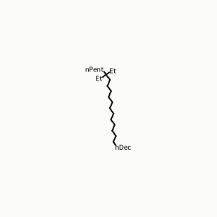 CCCCCCCCCCCCCCCCCCCCCCC(CC)(CC)CCCCC